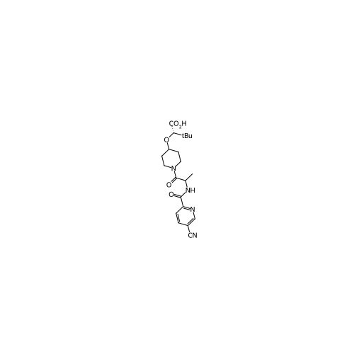 CC(NC(=O)c1ccc(C#N)cn1)C(=O)N1CCC(O[C@H](C(=O)O)C(C)(C)C)CC1